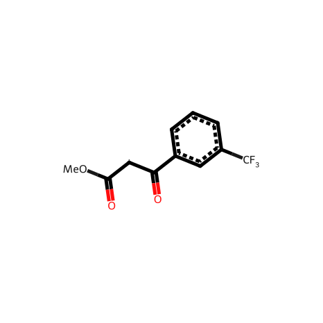 COC(=O)[CH]C(=O)c1cccc(C(F)(F)F)c1